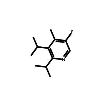 Cc1c(F)cnc(C(C)C)c1C(C)C